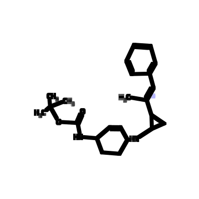 C/C(=C\c1ccccc1)C1CC1NC1C=CC(NC(=O)OC(C)(C)C)CC1